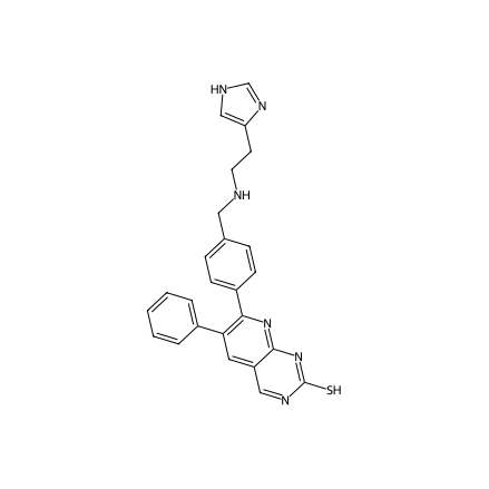 Sc1ncc2cc(-c3ccccc3)c(-c3ccc(CNCCc4c[nH]cn4)cc3)nc2n1